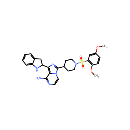 COc1ccc(OC)c(S(=O)(=O)N2CCC(c3nc(C4Cc5ccccc5N4)c4c(N)nccn34)CC2)c1